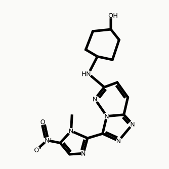 Cn1c([N+](=O)[O-])cnc1-c1nnc2ccc(NC3CCC(O)CC3)nn12